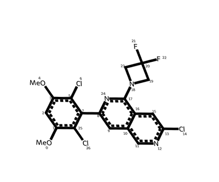 COc1cc(OC)c(Cl)c(-c2cc3cnc(Cl)cc3c(N3CC(F)(F)C3)n2)c1Cl